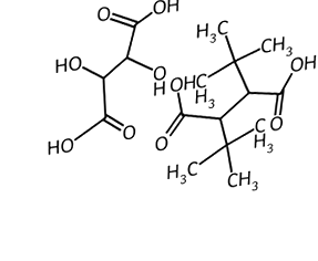 CC(C)(C)C(C(=O)O)C(C(=O)O)C(C)(C)C.O=C(O)C(O)C(O)C(=O)O